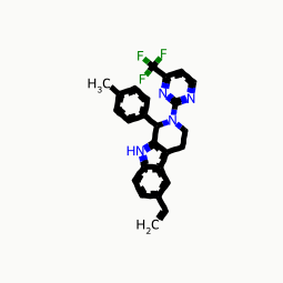 C=Cc1ccc2[nH]c3c(c2c1)CCN(c1nccc(C(F)(F)F)n1)C3c1ccc(C)cc1